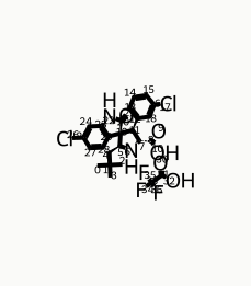 CC(C)(C)C[C@@H]1N[C@@H](C(=O)O)[C@H](c2cccc(Cl)c2)[C@]12C(=O)Nc1cc(Cl)ccc12.O=C(O)C(F)(F)F